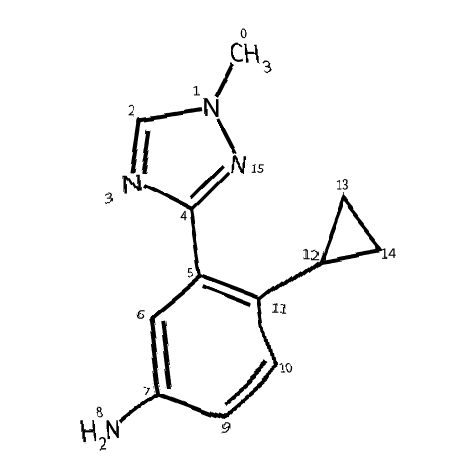 Cn1cnc(-c2cc(N)ccc2C2CC2)n1